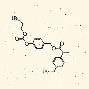 CC(C)Cc1ccc(C(C)C(=O)OCc2ccc(OC(=O)OCCC(C)(C)C)cc2)cc1